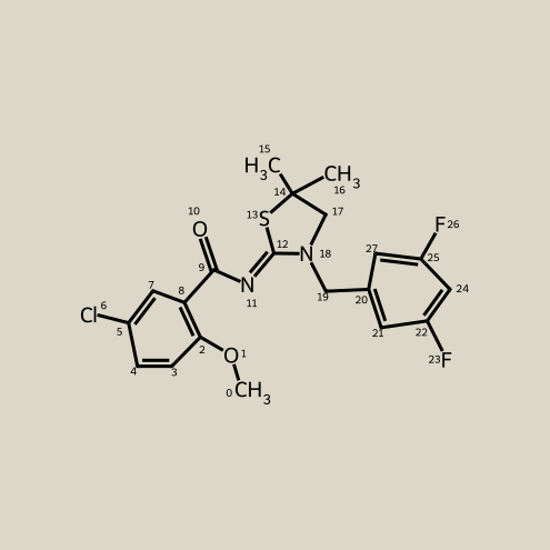 COc1ccc(Cl)cc1C(=O)N=C1SC(C)(C)CN1Cc1cc(F)cc(F)c1